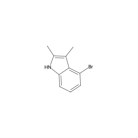 Cc1[nH]c2cccc(Br)c2c1C